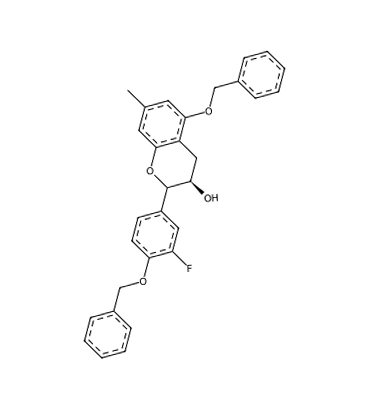 Cc1cc(OCc2ccccc2)c2c(c1)OC(c1ccc(OCc3ccccc3)c(F)c1)[C@H](O)C2